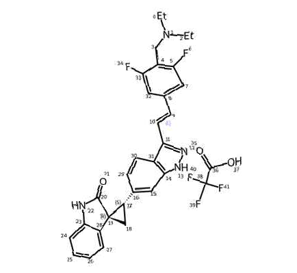 CCN(CC)Cc1c(F)cc(/C=C/c2n[nH]c3cc([C@@H]4C[C@@]45C(=O)Nc4ccccc45)ccc23)cc1F.O=C(O)C(F)(F)F